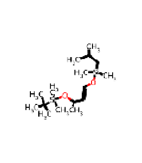 CC(C)C[Si](C)(C)OC=C[C@@H](C)O[Si](C)(C)C(C)(C)C